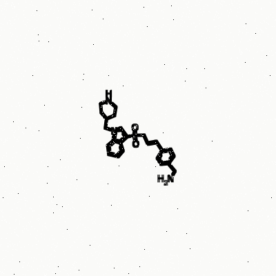 NCc1ccc(C=CCS(=O)(=O)c2cn(CC3CCNCC3)c3ccccc23)cc1